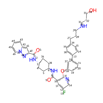 O=C(N[C@H]1CC[C@H](NC(=O)c2cc(F)cnc2Oc2cccc(-c3ccc(CCCNCCCO)cc3)c2)CC1)c1cc2ccccn2n1